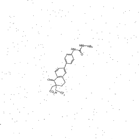 CCCCNC(=O)Nc1ccc(-c2ccc3c(c2)CCC(CC(=O)O)(CC(F)(F)F)C3=O)cc1